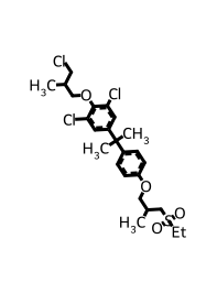 CCS(=O)(=O)CC(C)COc1ccc(C(C)(C)c2cc(Cl)c(OCC(C)CCl)c(Cl)c2)cc1